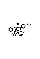 CCOc1ccc(/N=C(/SCc2ccccc2/C(=N/OC)C(=O)OC)C2CC2)cc1